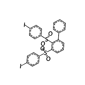 O=S(=O)(c1ccc(I)cc1)c1cccc(-c2ccccc2)c1S(=O)(=O)c1ccc(I)cc1